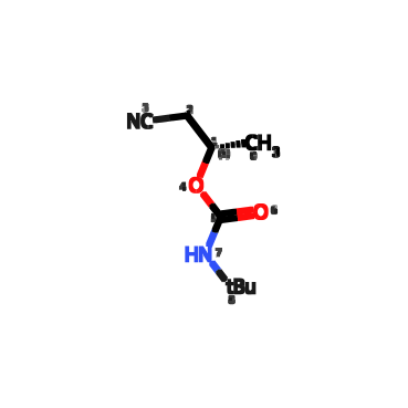 C[C@@H](CC#N)OC(=O)NC(C)(C)C